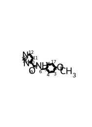 COc1ccc(CNC(=O)c2ccncn2)cc1